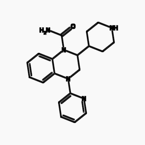 NC(=O)N1c2ccccc2N(c2ccccn2)CC1C1CCNCC1